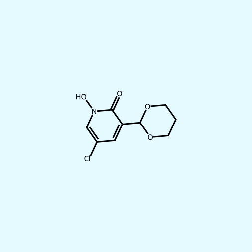 O=c1c(C2OCCCO2)cc(Cl)cn1O